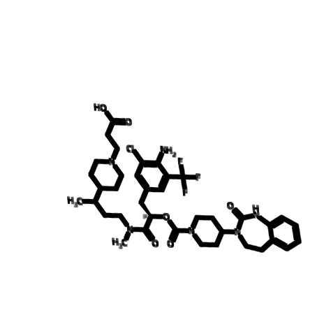 CC(CCN(C)C(=O)[C@@H](Cc1cc(Cl)c(N)c(C(F)(F)F)c1)OC(=O)N1CCC(N2CCc3ccccc3NC2=O)CC1)C1CCN(CCC(=O)O)CC1